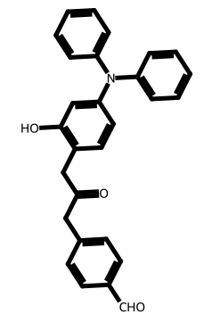 O=Cc1ccc(CC(=O)Cc2ccc(N(c3ccccc3)c3ccccc3)cc2O)cc1